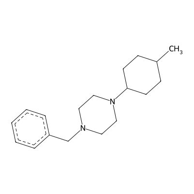 CC1CCC(N2CCN(Cc3ccccc3)CC2)CC1